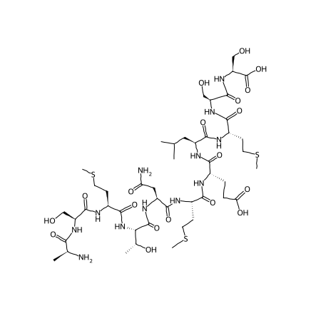 CSCC[C@H](NC(=O)[C@H](CC(C)C)NC(=O)[C@H](CCC(=O)O)NC(=O)[C@H](CCSC)NC(=O)[C@H](CC(N)=O)NC(=O)[C@@H](NC(=O)[C@H](CCSC)NC(=O)[C@H](CO)NC(=O)[C@H](C)N)[C@@H](C)O)C(=O)N[C@@H](CO)C(=O)N[C@@H](CO)C(=O)O